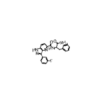 NC(=O)C(Cc1ccccc1)NC(=O)c1ccc2[nH]nc(-c3cccc(F)c3)c2n1